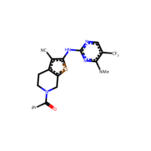 CNc1nc(Nc2sc3c(c2C#N)CCN(C(=O)C(C)C)C3)ncc1C(F)(F)F